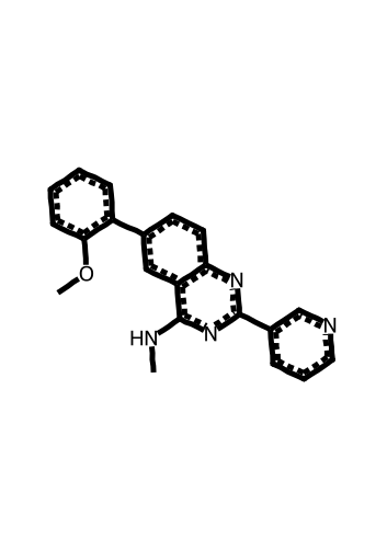 CNc1nc(-c2cccnc2)nc2ccc(-c3ccccc3OC)cc12